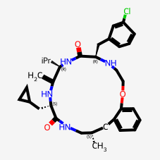 C=C1N[C@@H](CC2CC2)C(=O)NC[C@@H](C)Cc2ccccc2OCCN[C@H](Cc2cccc(Cl)c2)C(=O)N[C@@H]1C(C)C